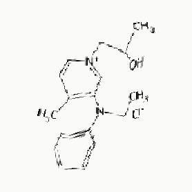 CCN(c1ccccc1)c1c[n+](CC(C)O)ccc1C.[Cl-]